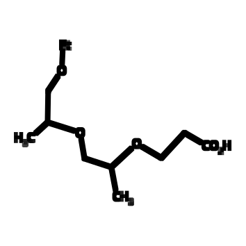 CCOCC(C)OCC(C)OCCC(=O)O